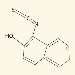 Oc1ccc2ccccc2c1N=C=S